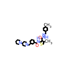 Cc1ccc(/C=N/NC(=O)c2c(C)csc2NC(=O)c2cccc(CN3CCC(N4CCCCC4)CC3)c2)cc1